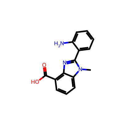 Cn1c(-c2ccccc2N)nc2c(C(=O)O)cccc21